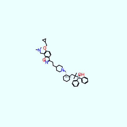 CN(C)Cc1c(OCC2CC2)ccc2c(CCC3CCN(C[C@H]4CCCC[C@@H]4CC(C)(C)[Si](O)(c4ccccc4)c4ccccc4)CC3)noc12